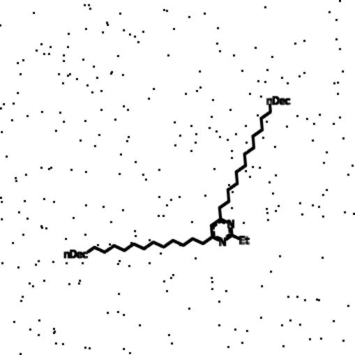 [CH2]Cc1nc(CCCCCCCCCCCCCCCCCCCCCC)cc(CCCCCCCCCCCCCCCCCCCCCC)n1